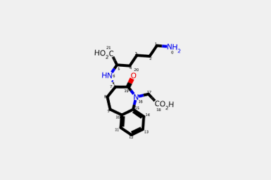 NCCCCC(N[C@H]1CCc2ccccc2N(CC(=O)O)C1=O)C(=O)O